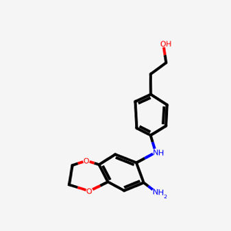 Nc1cc2c(cc1Nc1ccc(CCO)cc1)OCCO2